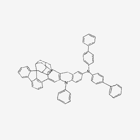 c1ccc(-c2ccc(N(c3ccc(-c4ccccc4)cc3)c3ccc4c(c3)Cc3ccc(-c5cccc6c5C5(c7ccccc7-6)C6CC7CC(C6)CC5C7)cc3N4c3ccccc3)cc2)cc1